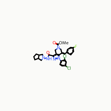 COC(=O)N1CC(=Cc2ccc(F)cc2)c2c(c(C(=O)NN3CC4CCCC4C3)nn2-c2ccc(Cl)cc2Cl)C1